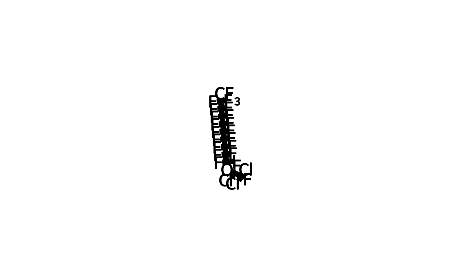 FC(F)(F)C(F)(F)C(F)(F)C(F)(F)C(F)(F)C(F)(F)C(F)(F)C(F)(F)C(F)(F)C(F)(I)OC(F)(Cl)C(F)(Cl)Cl